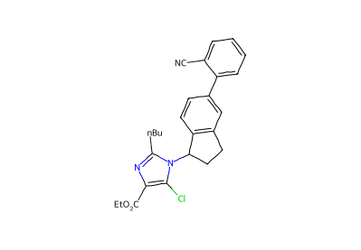 CCCCc1nc(C(=O)OCC)c(Cl)n1C1CCc2cc(-c3ccccc3C#N)ccc21